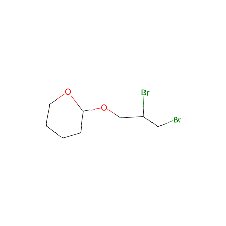 BrCC(Br)COC1CCCCO1